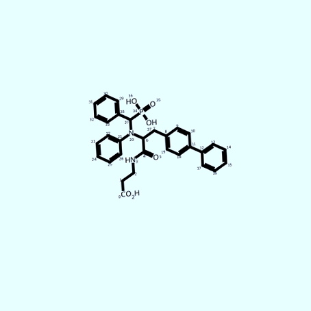 O=C(O)CCNC(=O)C(Cc1ccc(-c2ccccc2)cc1)N(c1ccccc1)C(c1ccccc1)P(=O)(O)O